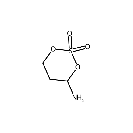 NC1CCOS(=O)(=O)O1